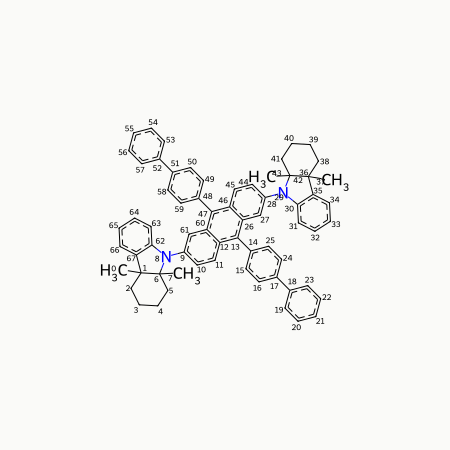 CC12CCCCC1(C)N(c1ccc3c(-c4ccc(-c5ccccc5)cc4)c4cc(N5c6ccccc6C6(C)CCCCC56C)ccc4c(-c4ccc(-c5ccccc5)cc4)c3c1)c1ccccc12